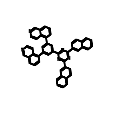 c1ccc2cc(-c3nc(-c4cc(-c5cccc6cnccc56)cc(-c5cccc6cnccc56)c4)nc(-c4ccc5ccccc5c4)n3)ccc2c1